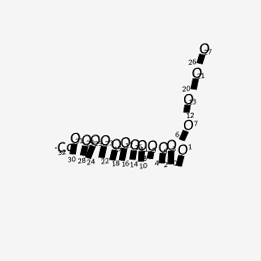 C=O.C=O.C=O.C=O.C=O.C=O.C=O.C=O.C=O.C=O.C=O.C=O.C=O.C=O.C=O.C=O.[Co]